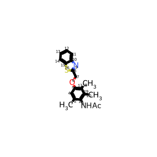 CC(=O)Nc1c(C)cc(OCc2nc3ccccc3s2)c(C)c1C